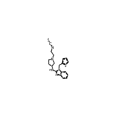 S=C=NCCN1CCC(Nc2nc3ccccc3n2Cc2cccs2)C1